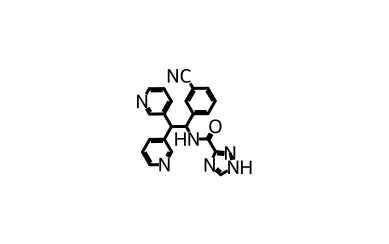 N#Cc1cccc(C(NC(=O)c2nc[nH]n2)C(c2cccnc2)c2cccnc2)c1